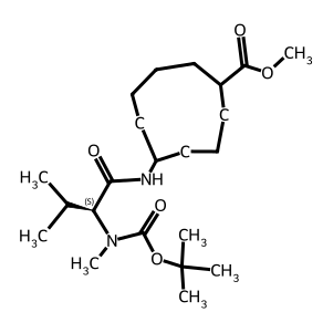 COC(=O)C1CCCCC(NC(=O)[C@H](C(C)C)N(C)C(=O)OC(C)(C)C)CCC1